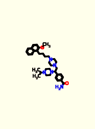 COc1ccc2ccccc2c1CCCCN1CCN(CC(c2ccc(C(N)=O)cc2)N2CCN(C(C)C)CC2)CC1